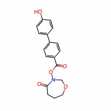 O=C(ON1COCCCC1=O)c1ccc(-c2ccc(O)cc2)cc1